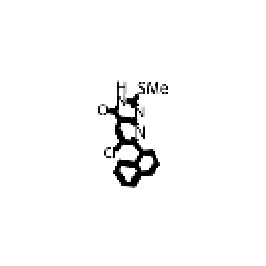 CSc1nc2nc(-c3cccc4ccccc34)c(Cl)cc2c(=O)[nH]1